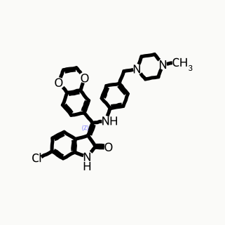 CN1CCN(Cc2ccc(N/C(=C3\C(=O)Nc4cc(Cl)ccc43)c3ccc4c(c3)OC=CO4)cc2)CC1